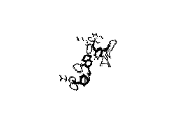 CC(C)C(Oc1ccc2c(c1)CCC(CN1CCC(C(=O)O)CC1)=C2Cl)c1cnc2[nH]nc(Cl)c2c1